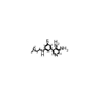 CN(C)CCNc1cc(F)cc(-c2cncc(N)c2N)c1